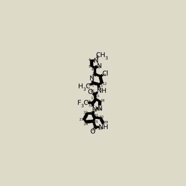 Cc1nc(-c2ccn(C)n2)c(Cl)cc1NC(=O)c1cnn(-c2cccc3c(=O)[nH]ccc23)c1C(F)(F)F